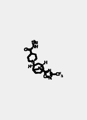 CC(C)(C)NC(=O)C1CCN([C@H]2C[C@H]3CCCC2CN3c2nc(C(F)(F)F)no2)CC1